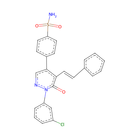 NS(=O)(=O)c1ccc(-c2cnn(-c3cccc(Cl)c3)c(=O)c2C=Cc2ccccc2)cc1